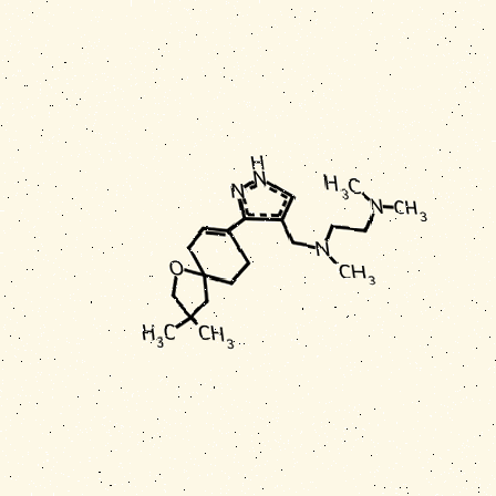 CN(C)CCN(C)Cc1c[nH]nc1C1=CCC2(CC1)CC(C)(C)CO2